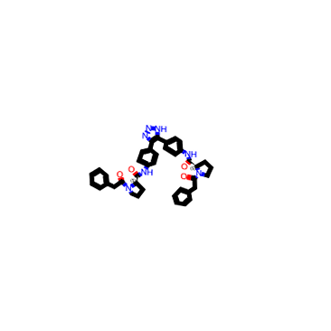 O=C(Nc1ccc(-c2nn[nH]c2-c2ccc(NC(=O)[C@@H]3CCCN3C(=O)Cc3ccccc3)cc2)cc1)[C@@H]1CCCN1C(=O)Cc1ccccc1